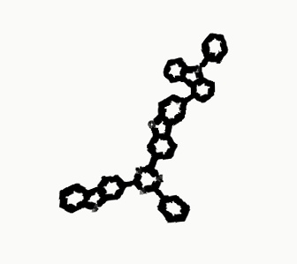 c1ccc(-c2nc(-c3ccc4c(c3)oc3ccc(-c5cccc6c5c5ccccc5n6-c5ccccc5)cc34)nc(-c3ccc4c(c3)sc3ccccc34)n2)cc1